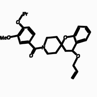 C=CCOC1CC2(CCN(C(=O)c3ccc(OC(C)C)c(OC)c3)CC2)Oc2ccccc21